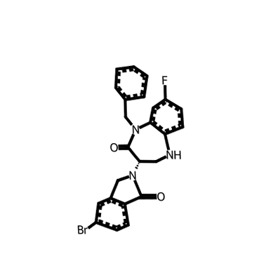 O=C1[C@@H](N2Cc3cc(Br)ccc3C2=O)CNc2ccc(F)cc2N1Cc1ccccc1